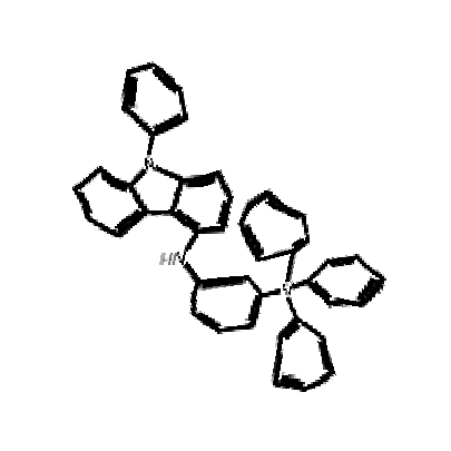 c1ccc(-n2c3ccccc3c3c(Nc4cccc([Si](c5ccccc5)(c5ccccc5)c5ccccc5)c4)cccc32)cc1